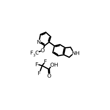 FC(F)(F)Oc1ncccc1-c1ccc2c(c1)CNC2.O=C(O)C(F)(F)F